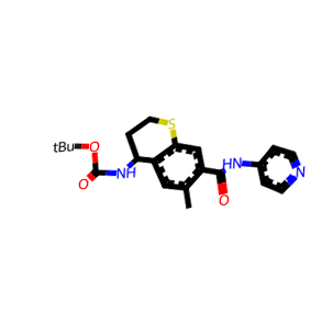 Cc1cc2c(cc1C(=O)Nc1ccncc1)SCCC2NC(=O)OC(C)(C)C